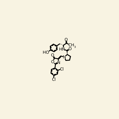 CC(=O)[C@@H](Cc1ccc(O)cc1)NC(=O)[C@H]1CCCN1/C=C1\N=C(c2ccc(Cl)cc2Cl)OC1=O